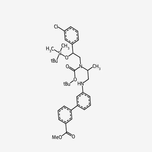 COC(=O)c1cccc(-c2cccc(NCC(C)N(CC(O[Si](C)(C)C(C)(C)C)c3cccc(Cl)c3)C(=O)OC(C)(C)C)c2)c1